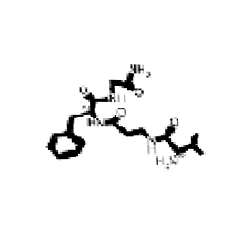 CC(C)[C@H](N)C(=O)NCCC(=O)N[C@@H](Cc1ccccc1)C(=O)NCC(N)=O